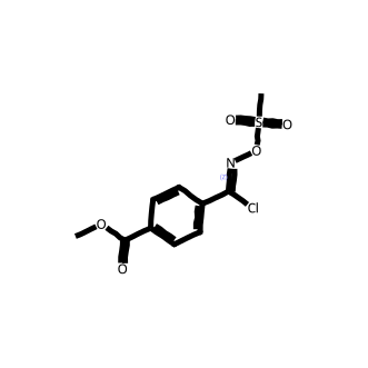 COC(=O)c1ccc(/C(Cl)=N/OS(C)(=O)=O)cc1